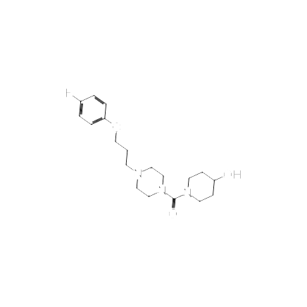 O=C(N1CCC(O)CC1)N1CCN(CCCOc2ccc(F)cc2)CC1